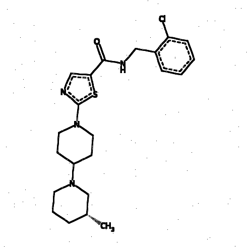 C[C@@H]1CCCN(C2CCN(c3ncc(C(=O)NCc4ccccc4Cl)s3)CC2)C1